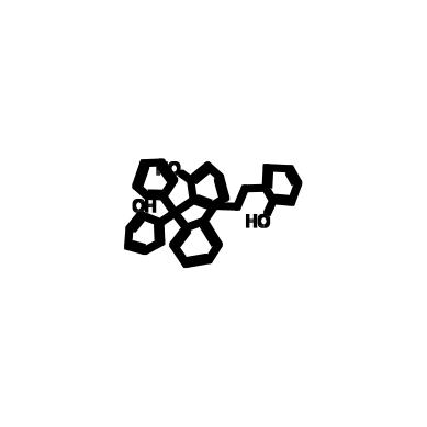 Oc1ccccc1CCCc1ccccc1C(c1ccccc1)(c1ccccc1O)c1ccccc1O